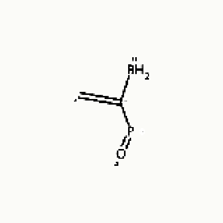 BC(=C)P=O